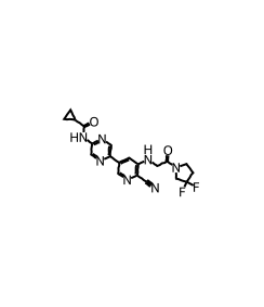 N#Cc1ncc(-c2cnc(NC(=O)C3CC3)cn2)cc1NCC(=O)N1CCC(F)(F)C1